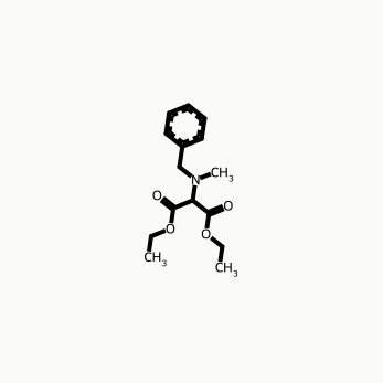 CCOC(=O)C(C(=O)OCC)N(C)Cc1ccccc1